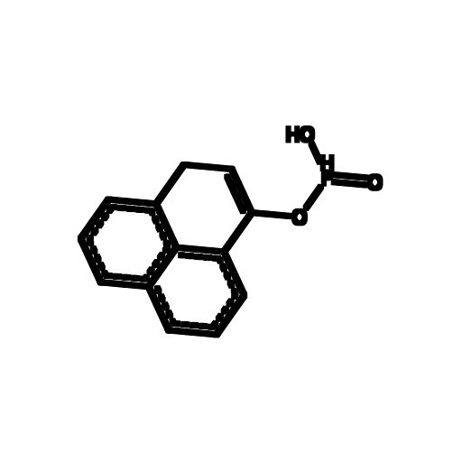 O=[PH](O)OC1=CCc2cccc3cccc1c23